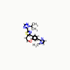 CC(C)n1ncnc1-c1nc2c(s1)CCOc1cc(-c3nccn3C)ccc1-2